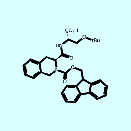 CC(C)(C)OC[C@H](NC(=O)[C@@H]1Cc2ccccc2CN1C(=O)OCC1c2ccccc2-c2ccccc21)C(=O)O